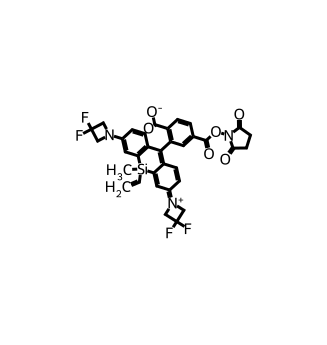 C=C[Si]1(C)C2=CC(=[N+]3CC(F)(F)C3)C=CC2=C(c2cc(C(=O)ON3C(=O)CCC3=O)ccc2C(=O)[O-])c2ccc(N3CC(F)(F)C3)cc21